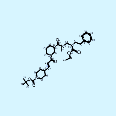 CCOC(=O)[C@H](CCc1ccccc1)CNC(=O)[C@@H]1CCCN(C(=O)/C=C/C2CCN(C(=O)OC(C)(C)C)CC2)C1